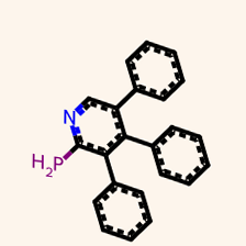 Pc1ncc(-c2ccccc2)c(-c2ccccc2)c1-c1ccccc1